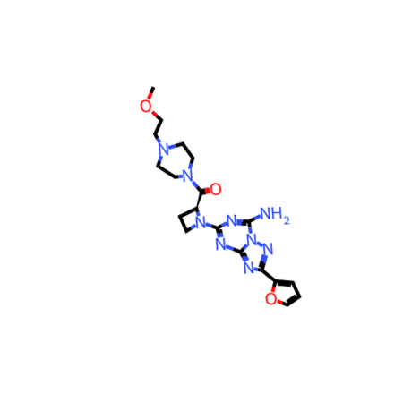 COCCN1CCN(C(=O)[C@@H]2CCN2c2nc(N)n3nc(-c4ccco4)nc3n2)CC1